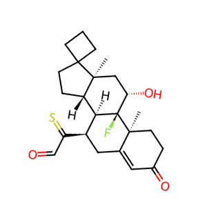 C[C@]12C[C@H](O)[C@@]3(F)[C@@H]([C@H](C(=S)C=O)CC4=CC(=O)CC[C@@]43C)[C@@H]1CCC21CCC1